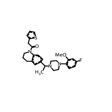 COc1cc(F)ccc1N1CCN(C(C)c2ccc3c(c2)CCCN3C(=O)Cc2cccs2)CC1